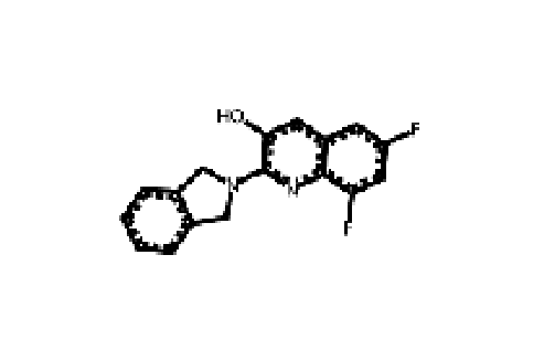 Oc1cc2cc(F)cc(F)c2nc1N1Cc2ccccc2C1